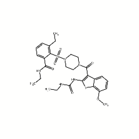 CCNC(=O)Nc1sc2c(OC)cccc2c1C(=O)N1CCN(S(=O)(=O)c2c(CC)cccc2C(=O)NCC)CC1